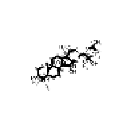 CC(=O)O[C@@H]([C@H]1C[C@@H](C)[C@H]2[C@H](O1)[C@H](O)[C@@]1(C)[C@@H]3CC[C@H]4C(C)(C)[C@@H](O)CC[C@@]45C[C@@]35CC[C@]21C)C(C)(C)O